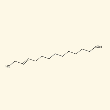 CCCCCCCCCCCCCCCC[CH]C=CCO